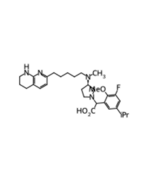 COc1c(F)cc(C(C)C)cc1C(C(=O)O)N1CC[C@@H](N(C)CCCCCc2ccc3c(n2)NCCC3)C1